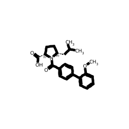 COc1ccccc1-c1ccc(C(=O)N2[C@@H](CC(C)C)CC[C@H]2C(=O)O)cc1